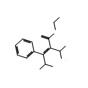 CCOC(=O)C(=C(c1ccccc1)C(C)C)C(C)C